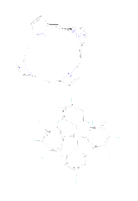 C1=Cc2cc3ccc(cc4nc(cc5ccc(cc1n2)[nH]5)C=C4)[nH]3.Fc1c(F)c(F)[c]([Fe]([c]2c(F)c(F)c(F)c(F)c2F)([c]2c(F)c(F)c(F)c(F)c2F)[c]2c(F)c(F)c(F)c(F)c2F)c(F)c1F